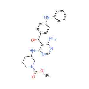 CC(C)(C)OC(=O)N1CCCC(Nc2ncnc(N)c2C(=O)c2ccc(Nc3ccccc3)cc2)C1